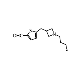 O=Cc1ccc(CC2CN(CCCF)C2)s1